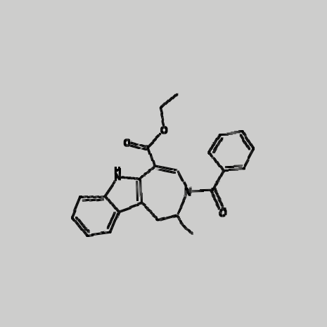 CCOC(=O)C1=CN(C(=O)c2ccccc2)C(C)Cc2c1[nH]c1ccccc21